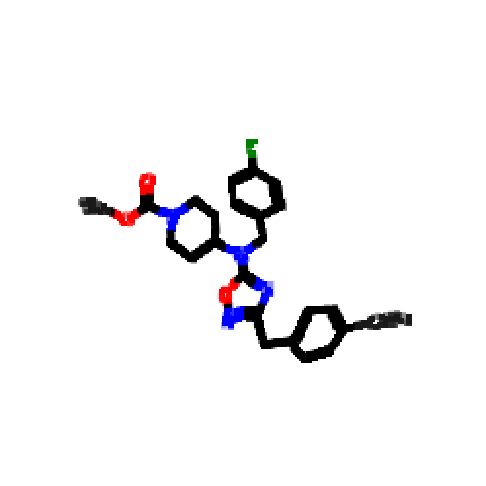 CC(C)COc1ccc(Cc2noc(N(Cc3ccc(F)cc3)C3CCN(C(=O)OC(C)(C)C)CC3)n2)cc1